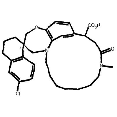 CN1CCCCCCCN2C[C@@]3(CCCc4cc(Cl)ccc43)COc3ccc(cc32)C(C(=O)O)CC1=O